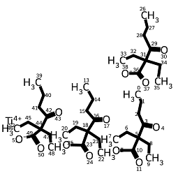 CCCC(=O)C(CC)(CC)C(=O)[O-].CCCC(=O)C(CC)(CC)C(=O)[O-].CCCC(=O)C(CC)(CC)C(=O)[O-].CCCC(=O)C(CC)(CC)C(=O)[O-].[Ti+4]